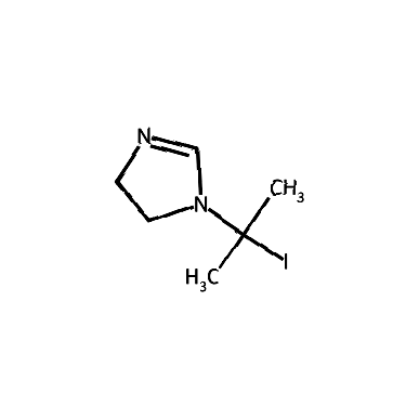 CC(C)(I)N1C=NCC1